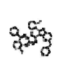 O=C(N[C@H]1N=C(c2ccccc2)c2cccc(F)c2NC1=O)c1c(-c2ccccc2F)nn2c1OC(CN1CCOCC1)CC2